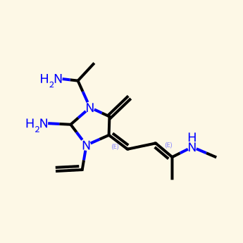 C=CN1/C(=C/C=C(\C)NC)C(=C)N(C(C)N)C1N